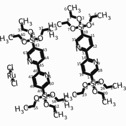 CCO[Si](OCC)(OCC)c1ccc(-c2ccc([Si](OCC)(OCC)OCC)cn2)nc1.CCO[Si](OCC)(OCC)c1ccc(-c2ccc([Si](OCC)(OCC)OCC)cn2)nc1.[Cl][Ru][Cl]